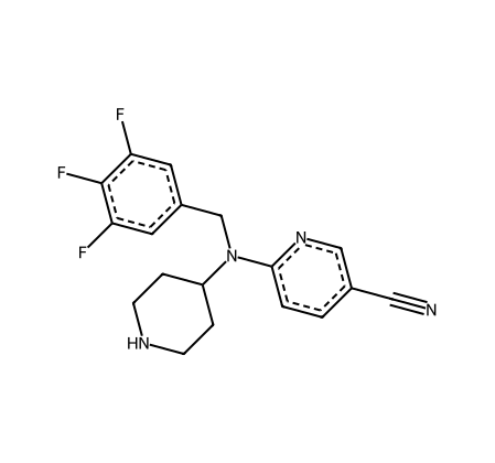 N#Cc1ccc(N(Cc2cc(F)c(F)c(F)c2)C2CCNCC2)nc1